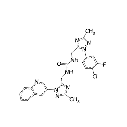 Cc1nc(CNC(=O)NCc2nc(C)nn2-c2cnc3ccccc3c2)n(-c2ccc(Cl)c(F)c2)n1